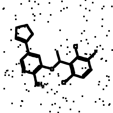 CC(Oc1cc(C2=CCCC2)cnc1N)c1c(Cl)ccc(F)c1Cl